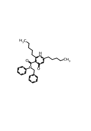 CCCCCc1cc(=O)c(C(=O)N(Cc2ccccc2)c2ccccc2)c(CCCCC)[nH]1